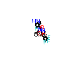 COC[C@H](O)CN(C(=O)c1c(F)ccc2c1CCN2)c1cc(Cc2cc(F)c(F)c(F)c2)ccn1